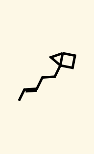 CC=CCCC12CCC1C2